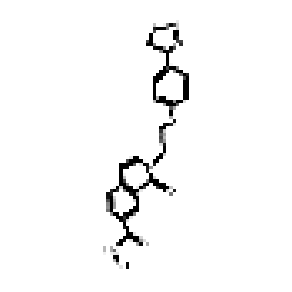 O=C(NO)c1ccc2ccn(CCOc3ccc(C4CSN=N4)cc3)c(=O)c2c1